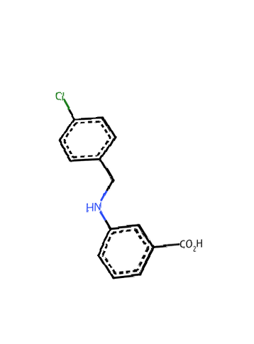 O=C(O)c1cccc(NCc2ccc(Cl)cc2)c1